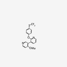 COc1ccncc1-c1cccnc1Oc1ccc(SC(F)(F)F)cc1